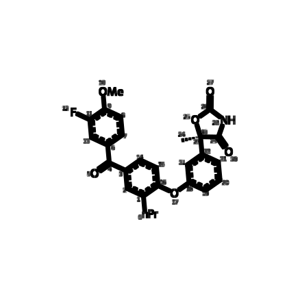 CCCc1cc(C(=O)c2ccc(OC)c(F)c2)ccc1Oc1cccc([C@@]2(C)OC(=O)NC2=O)c1